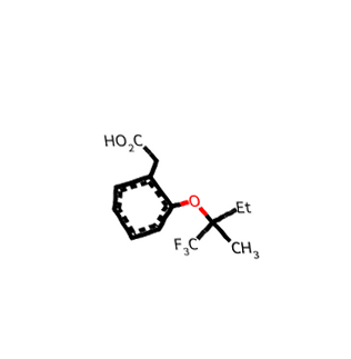 CCC(C)(Oc1ccccc1CC(=O)O)C(F)(F)F